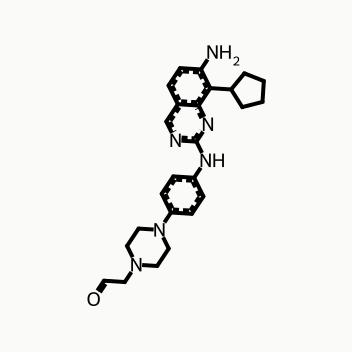 Nc1ccc2cnc(Nc3ccc(N4CCN(CC=O)CC4)cc3)nc2c1C1CCCC1